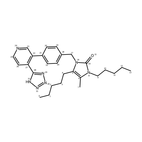 CCCCCc1c(C)n(CCCCC)c(=O)n1Cc1ccc(-c2cnccc2-c2nnn[nH]2)cc1